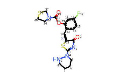 O=C1N=C(N2CCCCN2)S/C1=C/c1ccc(F)cc1OC(=O)N1CCSC1